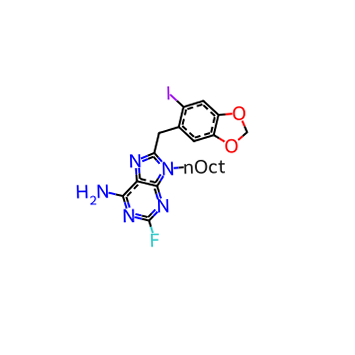 CCCCCCCCn1c(Cc2cc3c(cc2I)OCO3)nc2c(N)nc(F)nc21